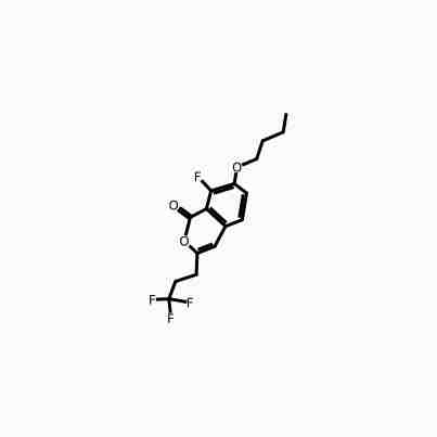 CCCCOc1ccc2cc(CCC(F)(F)F)oc(=O)c2c1F